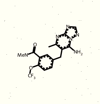 CNC(=O)c1cc(Cc2c(C)nc3ncnn3c2N)ccc1OC(F)(F)F